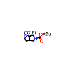 CCOC(=O)N1CCC2CN(C(=O)OC(C)(C)C)CC21